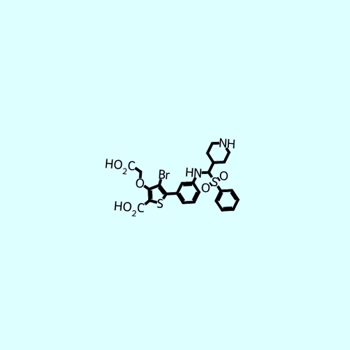 O=C(O)COc1c(C(=O)O)sc(-c2cccc(NC(C3CCNCC3)S(=O)(=O)c3ccccc3)c2)c1Br